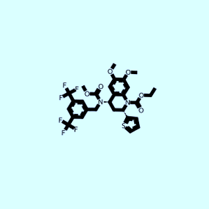 CCOC(=O)N1c2cc(OC)c(OC)cc2[C@@H](N(Cc2cc(C(F)(F)F)cc(C(F)(F)F)c2)C(=O)OC)C[C@H]1c1cccs1